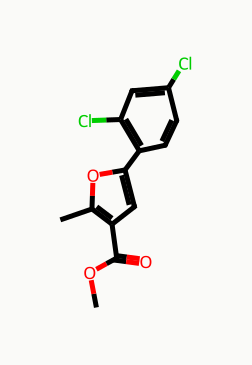 COC(=O)c1cc(-c2ccc(Cl)cc2Cl)oc1C